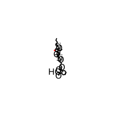 CCCC[Si](C)(C)OC(CC)(CC)[Si](C)(C)OC(C)(C)[Si](C)(C)OCCCOC(=O)C1CC=CCC1C(=O)O